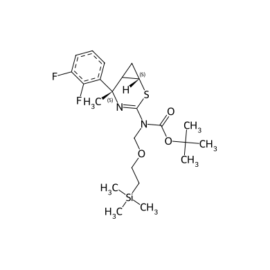 CC(C)(C)OC(=O)N(COCC[Si](C)(C)C)C1=N[C@](C)(c2cccc(F)c2F)C2C[C@@H]2S1